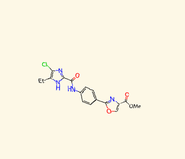 CCc1[nH]c(C(=O)Nc2ccc(-c3nc(C(=O)OC)co3)cc2)nc1Cl